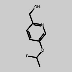 CC(F)Oc1ccc(CO)nc1